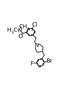 CN(C)C(=O)c1cc(Cl)cc(CCN2CCC(Cc3cc(F)ccc3Br)CC2)c1